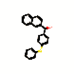 O=C(c1ccc(Sc2cc[c]cc2)cc1)c1ccc2ccccc2c1